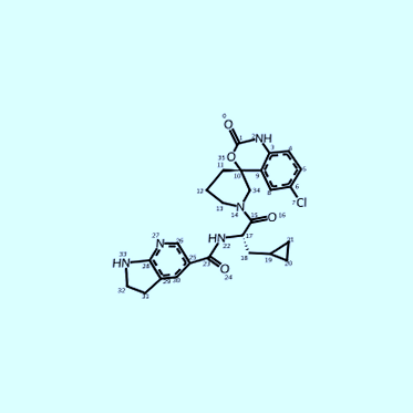 O=C1Nc2ccc(Cl)cc2[C@@]2(CCCN(C(=O)[C@H](CC3CC3)NC(=O)c3cnc4c(c3)CCN4)C2)O1